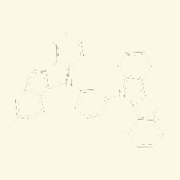 c1cc(-n2c3ccccc3c3sc4ccccc4c32)cc(-n2c3ccccc3c3sc4ccccc4c32)c1